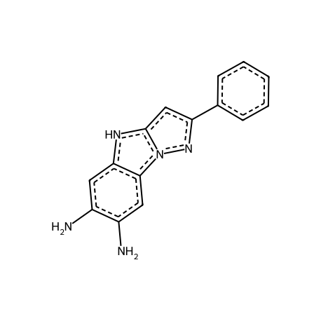 Nc1cc2[nH]c3cc(-c4ccccc4)nn3c2cc1N